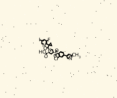 Cn1cc(-c2ccc(S(=O)(=O)[C@@H]3C[C@@H](C(=O)O)N(C(=O)C4(c5ncc(I)cc5F)CC4)C3)c(Cl)c2)cn1